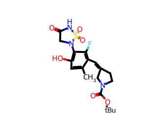 Cc1cc(O)c(N2CC(=O)NS2(=O)=O)c(F)c1C=C1CCN(C(=O)OC(C)(C)C)C1